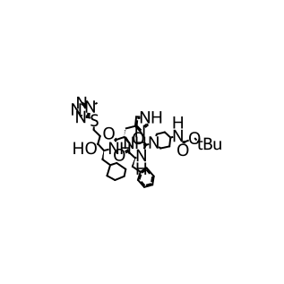 Cn1nnnc1SCC[C@H](O)[C@H](CC1CCCCC1)NC(=O)[C@H](Cc1c[nH]cn1)NC(=O)[C@H](Cc1ccccc1)NC(=O)N1CCC(NC(=O)OC(C)(C)C)CC1